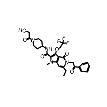 CCc1cc2c(c(OCC(F)(F)F)c(C(=O)NC3CCN(C(=O)CO)CC3)n2C)c(=O)n1CC(=O)c1ccccc1